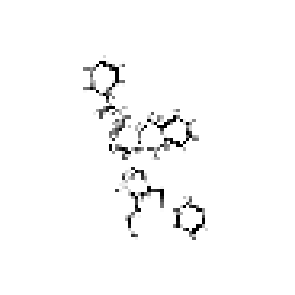 CCOC(=O)[C@H](CCc1ccccc1)N[C@@H](C)C(=O)N1Cc2ccccc2C[C@H]1C(=O)OC(=O)c1ccccc1